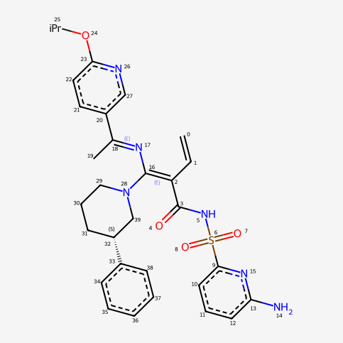 C=C/C(C(=O)NS(=O)(=O)c1cccc(N)n1)=C(\N=C(/C)c1ccc(OC(C)C)nc1)N1CCC[C@@H](c2ccccc2)C1